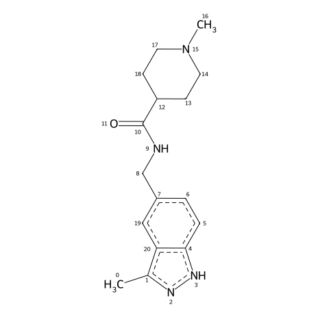 Cc1n[nH]c2ccc(CNC(=O)C3CCN(C)CC3)cc12